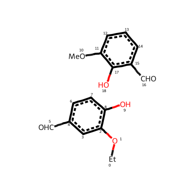 CCOc1cc(C=O)ccc1O.COc1cccc(C=O)c1O